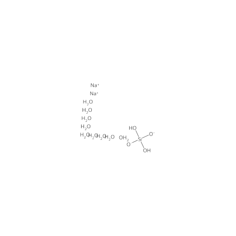 O.O.O.O.O.O.O.O.O.[Na+].[Na+].[O-][Si]([O-])(O)O